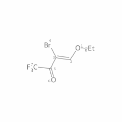 CCO/C=C(\Br)C(=O)C(F)(F)F